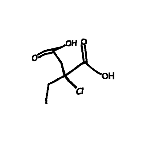 CCC(Cl)(C(=O)O)C(=O)O